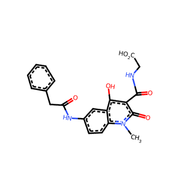 Cn1c(=O)c(C(=O)NCC(=O)O)c(O)c2cc(NC(=O)Cc3ccccc3)ccc21